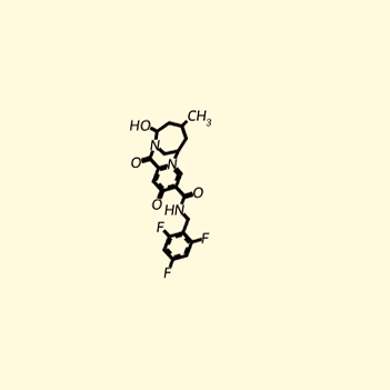 CC1CC(O)N2CC(C1)n1cc(C(=O)NCc3c(F)cc(F)cc3F)c(=O)cc1C2=O